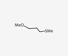 [CH2]SCCCOC